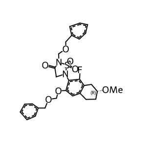 CO[C@@H]1CCc2cc(OCOCc3ccccc3)c(N3CC(=O)N(COCc4ccccc4)S3(=O)=O)c(F)c2C1